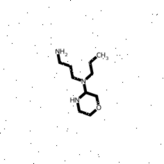 CCCN(CCCN)C1COCCN1